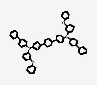 C1=C(C2=CC=C(N(c3ccc(-c4ccccc4)cc3)c3cccc(Oc4ccccc4)c3)CC2)CCC(c2ccc(N(c3ccc(-c4ccccc4)cc3)c3cccc(Oc4ccccc4)c3)cc2)=C1